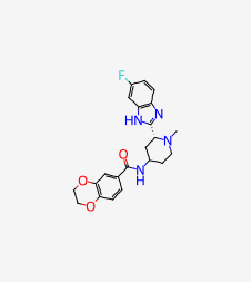 CN1CCC(NC(=O)c2ccc3c(c2)OCCO3)C[C@@H]1c1nc2ccc(F)cc2[nH]1